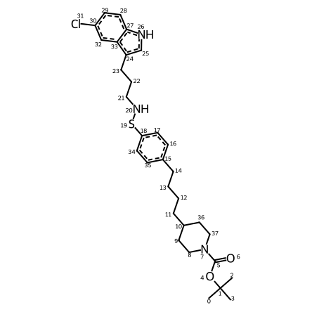 CC(C)(C)OC(=O)N1CCC(CCCCc2ccc(SNCCCc3c[nH]c4ccc(Cl)cc34)cc2)CC1